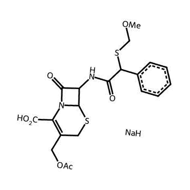 COCSC(C(=O)NC1C(=O)N2C(C(=O)O)=C(COC(C)=O)CSC12)c1ccccc1.[NaH]